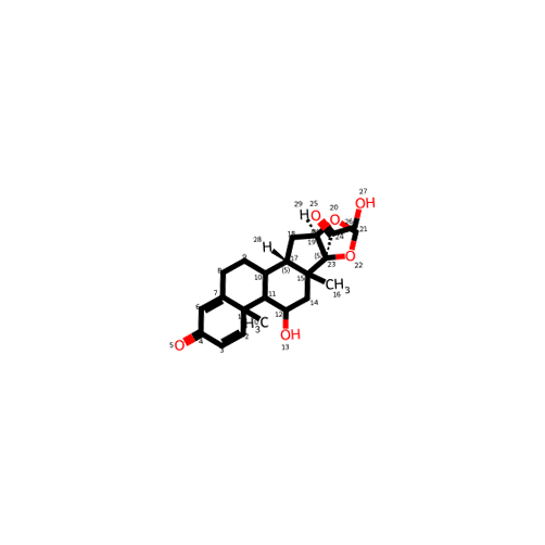 CC12C=CC(=O)C=C1CCC1C2C(O)CC2(C)[C@H]1C[C@H]1OCO[C@]12C(=O)CO